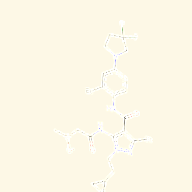 CCc1cc(N2CCC(F)(F)C2)ccc1NC(=O)c1c(CC)nn(CCC2CC2)c1NC(=O)C[S+](C)[O-]